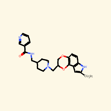 CCOC(=O)c1cc2c3c(ccc2[nH]1)OCC(CN1CCC(CNC(=O)c2cccnc2)CC1)O3